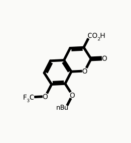 CCCCOc1c(OC(F)(F)F)ccc2cc(C(=O)O)c(=O)oc12